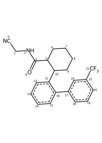 N#CCNC(=O)C1CCCCC1c1ccccc1-c1cccc(C(F)(F)F)c1